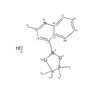 Cc1cc(B2OC(C)(C)C(C)(C)O2)c2ccccc2n1.Cl